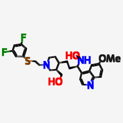 COc1ccc2nccc([C@@H](CC[C@@H]3CCN(CCSc4cc(F)cc(F)c4)C[C@@H]3CO)NO)c2c1